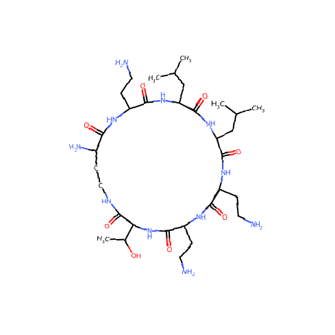 CC(C)CC1NC(=O)C(CCN)NC(=O)C(N)CCNC(=O)C(C(C)O)NC(=O)C(CCN)NC(=O)C(CCN)NC(=O)C(CC(C)C)NC1=O